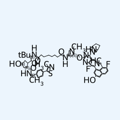 C#Cc1c(F)ccc2cc(O)cc(-c3ncc4c(N5CC6CCC(C5)N6)nc(OC[C@@H]5C[C@@H](NC(=O)CCCCCCC(=O)N[C@H](C(=O)C6C[C@H](O)C[C@H]6C(=O)N[C@@H](C)c6ccc(-c7scnc7C)cc6)C(C)(C)C)CN5C)nc4c3F)c12